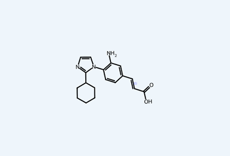 Nc1cc(/C=C/C(=O)O)ccc1-n1ccnc1C1CCCCC1